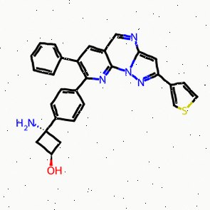 N[C@]1(c2ccc(-c3nc4c(cnc5cc(-c6ccsc6)nn54)cc3-c3ccccc3)cc2)C[C@@H](O)C1